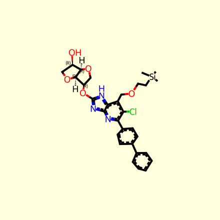 C[Si](C)(C)CCOCc1c(Cl)c(-c2ccc(-c3ccccc3)cc2)nc2nc(O[C@@H]3CO[C@H]4[C@@H]3OC[C@H]4O)[nH]c12